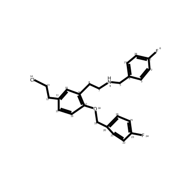 Fc1ccc(CNCCc2cc(CCCl)ccc2OCc2ccc(F)cc2)cc1